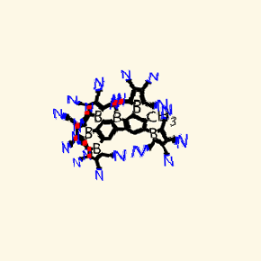 Cc1c(B2C(C#N)=C(C#N)C(C#N)=C2C#N)cc2c(c1B1C(C#N)=C(C#N)C(C#N)=C1C#N)B(C#N)c1c-2cc(B2C(C#N)=C(C#N)C(C#N)=C2C#N)c(B2C(C#N)=C(C#N)C(C#N)=C2C#N)c1B1C(C#N)=C(C#N)C(C#N)=C1C#N